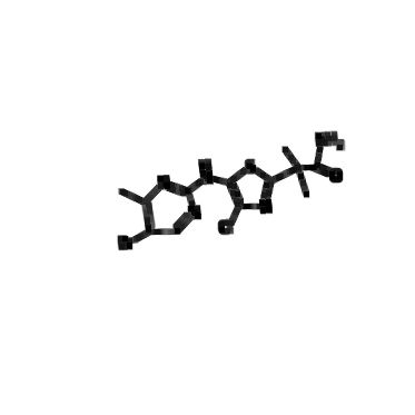 Cc1nc(Nc2sc(C(C)(C)C(N)=O)nc2Cl)ncc1Br